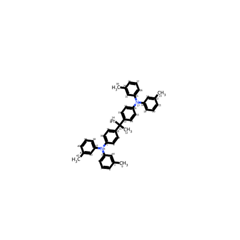 Cc1cccc(N(c2ccc(C(C)(c3ccc(N(c4cccc(C)c4)c4cccc(C)c4)cc3)C(C)C)cc2)c2cccc(C)c2)c1